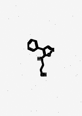 OCCNc1oncc1-c1ccccc1